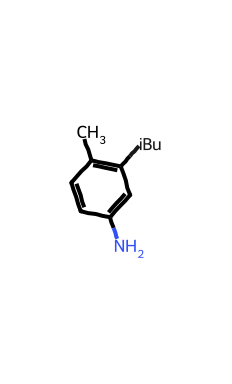 CCC(C)c1cc(N)ccc1C